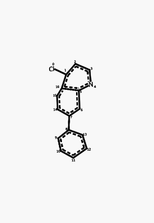 Clc1ccnc2cc(-c3ccccc3)ccc12